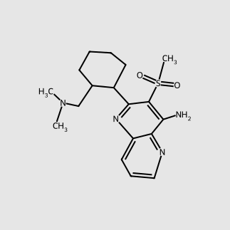 CN(C)CC1CCCCC1c1nc2cccnc2c(N)c1S(C)(=O)=O